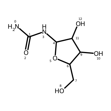 NC(=O)NC1OC(CO)C(O)C1O